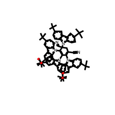 CC(C)(C)c1ccc2c(c1)c1cc(C(C)(C)C)ccc1n2C1=C(C#N)CC(C#N)(n2c3ccc(C(C)(C)C)cc3c3cc(C(C)(C)C)ccc32)C(n2c3ccc(C(C)(C)C)cc3c3cc(C(C)(C)C)ccc32)=C1n1c2ccc(C(C)(C)C)cc2c2cc(C(C)(C)C)ccc21